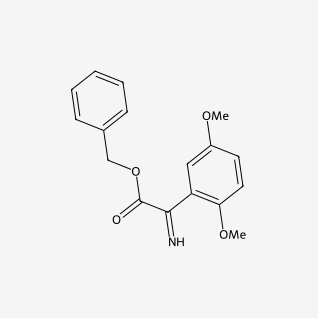 COc1ccc(OC)c(C(=N)C(=O)OCc2ccccc2)c1